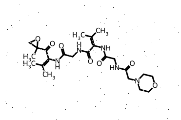 CC(C)=C(NC(=O)CNC(=O)CN1CCOCC1)C(=O)NCC(=O)NC(C(=O)C1(C)CO1)=C(C)C